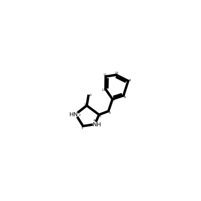 CC1NCNC1Cc1ccccc1